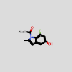 COC(=O)n1c(C)cc2cc(O)cc(F)c21